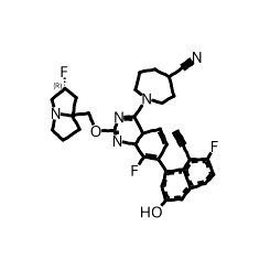 C#Cc1c(F)ccc2cc(O)cc(C3=C(F)C4N=C(OCC56CCCN5C[C@H](F)C6)N=C(N5CCCC(C#N)CC5)C4C=C3)c12